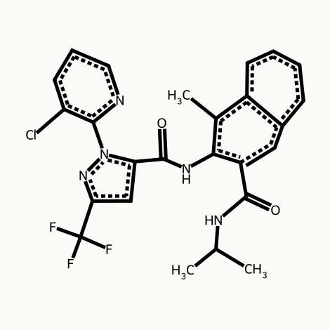 Cc1c(NC(=O)c2cc(C(F)(F)F)nn2-c2ncccc2Cl)c(C(=O)NC(C)C)cc2ccccc12